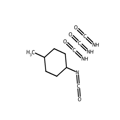 CC1CCC(N=C=O)CC1.N=C=O.N=C=O.N=C=O